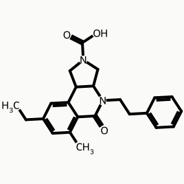 CCc1cc(C)c2c(c1)C1CN(C(=O)O)CC1N(CCc1ccccc1)C2=O